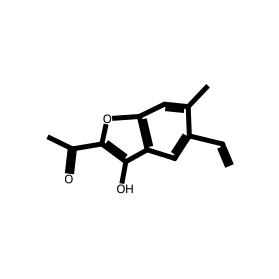 C=Cc1cc2c(O)c(C(C)=O)oc2cc1C